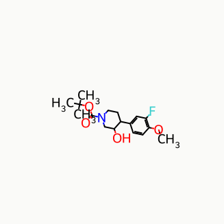 COc1ccc(C2CCN(C(=O)OC(C)(C)C)CC2O)cc1F